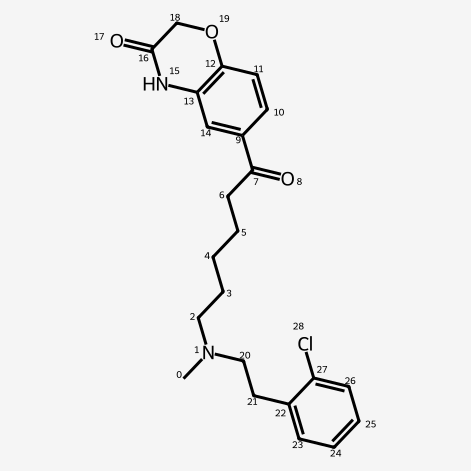 CN(CCCCCC(=O)c1ccc2c(c1)NC(=O)CO2)CCc1ccccc1Cl